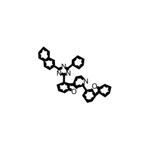 c1ccc(-c2nc(-c3ccc4ccccc4c3)nc(-c3cccc4oc5c(-c6cccc7c6oc6ccccc67)nccc5c34)n2)cc1